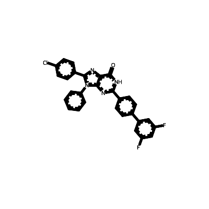 O=c1[nH]c(-c2ccc(-c3cc(F)cc(F)c3)cc2)nc2c1nc(-c1ccc(Cl)cc1)n2-c1ccccc1